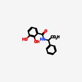 O=C(NC(C(=O)O)c1ccccc1)c1cccc(O)c1O